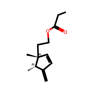 C=C1C=C[C@@](C)(CCOC(=O)CC)[C@H]1C